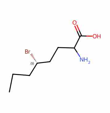 CCC[C@H](Br)CCC(N)C(=O)O